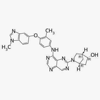 Cc1cc(Nc2ncnc3cnc(N4C[C@H]5C[C@@H]4C[C@H]5O)nc23)ccc1Oc1ccc2c(c1)ncn2C